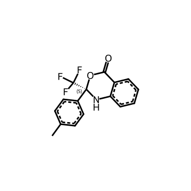 Cc1ccc([C@]2(C(F)(F)F)Nc3ccccc3C(=O)O2)cc1